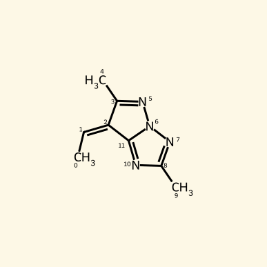 C/C=c1/c(C)nn2nc(C)nc12